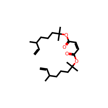 C=CC(C)CCCC(C)(C)OC(=O)/C=C\C(=O)OC(C)(C)CCCC(C)C=C